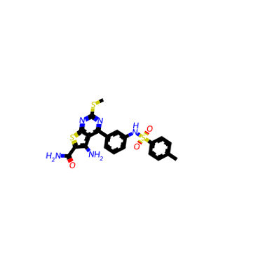 CSc1nc(-c2cccc(NS(=O)(=O)c3ccc(C)cc3)c2)c2c(N)c(C(N)=O)sc2n1